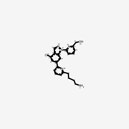 NCCCCc1cccc(-c2cc(Cl)c3cnn(-c4cccc(CO)n4)c3c2)n1